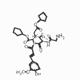 COc1cc(/C=C/C(=O)N(C(=O)[C@H](NC(=O)CN)C(C)C)[C@H](CCC(=O)OC2CCCC2)C(=O)OC2CCCC2)ccc1O